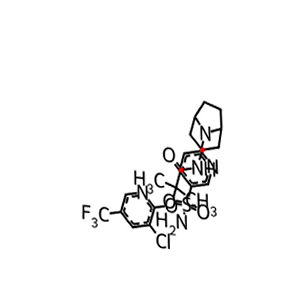 CC(C)(Oc1ncc(C(F)(F)F)cc1Cl)C(=O)NC1CC2CCC(C1)N2c1ccc(S(N)(=O)=O)cn1